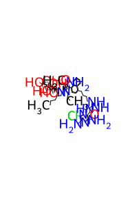 CCCCCCN(C[C@@H](O)[C@H](O)[C@@H](O)[C@@H](O)CO)N(CCC)[C@@](CC)(C(N)=O)c1ccc(CCCCNC(=N)NC(=O)c2nc(Cl)c(N)nc2N)c2ccccc12